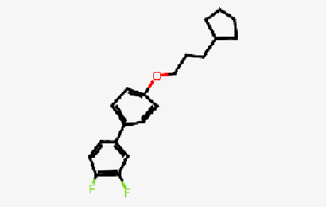 Fc1ccc(-c2ccc(OCCCC3CCCC3)cc2)cc1F